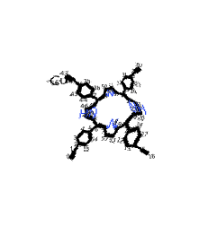 C#Cc1ccc(-c2c3nc(c(-c4ccc(C#C)cc4)c4ccc([nH]4)c(-c4ccc(C#C)cc4)c4nc(c(-c5ccc(C#C)cc5)c5ccc2[nH]5)C=C4)C=C3)cc1.[Cu]